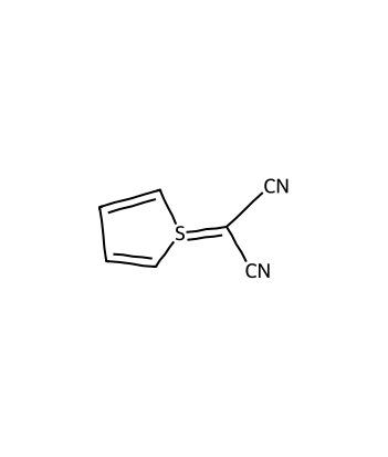 N#CC(C#N)=S1C=CC=C1